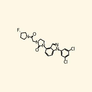 O=C(CN1CCN(c2cccc3c2cnn3-c2cc(Cl)cc(Cl)c2)C1=O)N1CC[C@H](F)C1